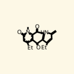 C=C1C=C(CC)C2=C(N1)C(=O)c1c(c(CC)cc(=O)n1C)C2=O